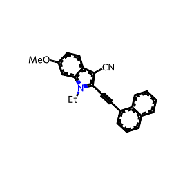 CCn1c(C#Cc2cccc3ccccc23)c(C#N)c2ccc(OC)cc21